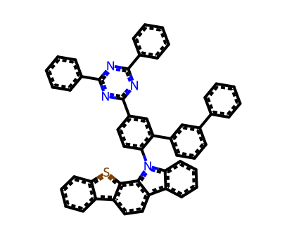 c1ccc(-c2cccc(-c3cc(-c4nc(-c5ccccc5)nc(-c5ccccc5)n4)ccc3-n3c4ccccc4c4ccc5c6ccccc6sc5c43)c2)cc1